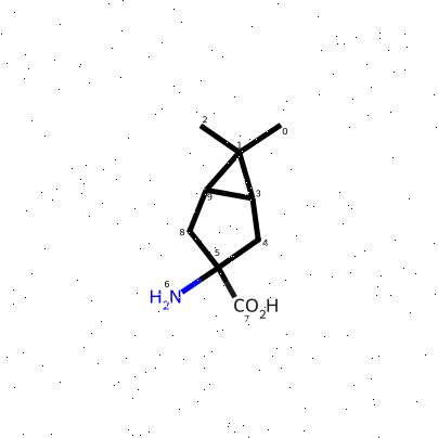 CC1(C)C2CC(N)(C(=O)O)CC21